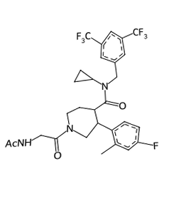 CC(=O)NCC(=O)N1CCC(C(=O)N(Cc2cc(C(F)(F)F)cc(C(F)(F)F)c2)C2CC2)C(c2ccc(F)cc2C)C1